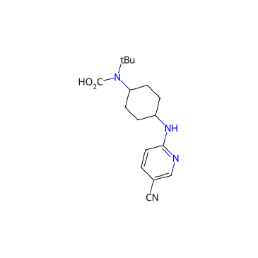 CC(C)(C)N(C(=O)O)C1CCC(Nc2ccc(C#N)cn2)CC1